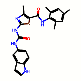 Cc1cc(C)c(NC(=O)c2sc(NC(=O)Nc3ccc4[nH]ccc4c3)nc2C)c(C)c1